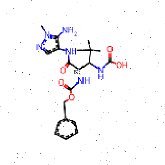 Cn1ncc(NC(=O)[C@@H](NC(=O)OCc2ccccc2)C(NC(=O)O)C(C)(C)C)c1N